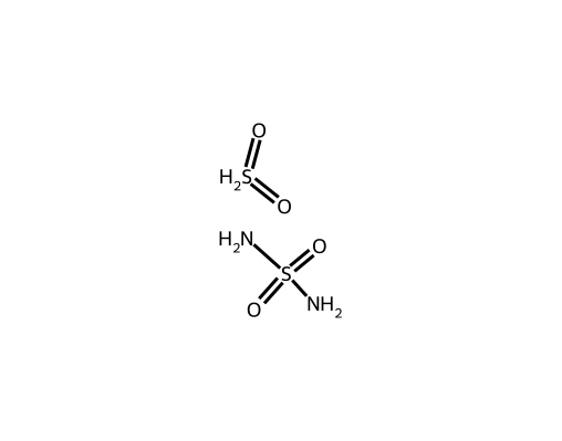 NS(N)(=O)=O.O=[SH2]=O